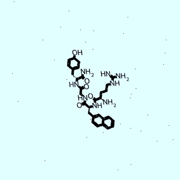 N=C(N)NCCC[C@H](N)C(=O)N[C@@H](Cc1ccc2ccccc2c1)C(=O)NCC(=O)N[C@H](CC1=CCC(O)C=C1)C(N)=O